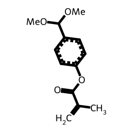 C=C(C)C(=O)Oc1ccc(C(OC)OC)cc1